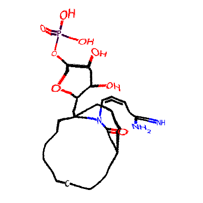 N=C(N)/C=C\N1C(=O)C2CCCCCCCC1(C1OC(OP(=O)(O)O)C(O)C1O)CCC2